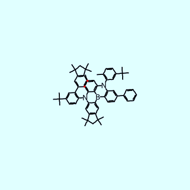 Cc1cc2c3c(c1)N(c1ccc(C(C)(C)C)cc1-c1ccc4c(c1)C(C)(C)CC4(C)C)c1cc4c(cc1B3c1ccc(-c3ccccc3)cc1N2c1cc(C(C)(C)C)ccc1C)C(C)(C)CC4(C)C